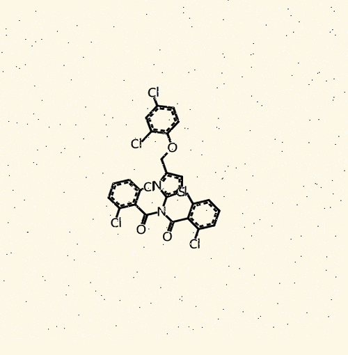 O=C(c1c(Cl)cccc1Cl)N(C(=O)c1c(Cl)cccc1Cl)c1nc(COc2ccc(Cl)cc2Cl)cs1